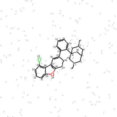 CC1CC2CC(C)CC(c3ccccc3C3=Cc4c(oc5cccc(Cl)c45)CC3)(C1)C2